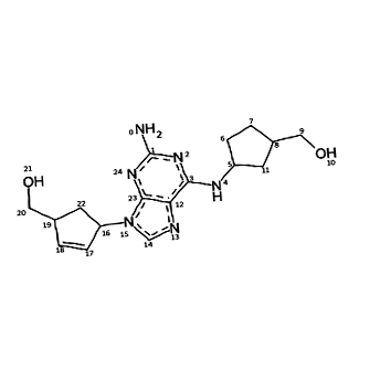 Nc1nc(NC2CCC(CO)C2)c2ncn(C3C=CC(CO)C3)c2n1